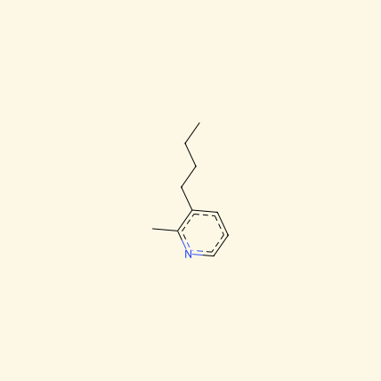 CCCCc1cccnc1C